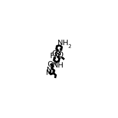 CCc1cnnc(C(=O)N[C@@H]2C[C@H](CC)N(S(=O)(=O)N3CCC(N)CC3)[C@H](F)C2)c1